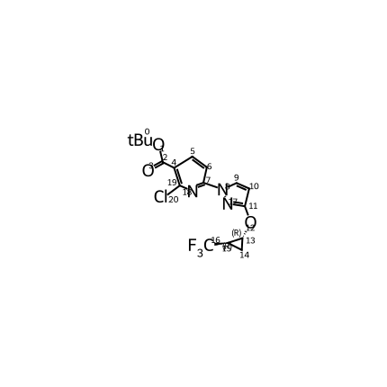 CC(C)(C)OC(=O)c1ccc(-n2ccc(O[C@@H]3C[C@H]3C(F)(F)F)n2)nc1Cl